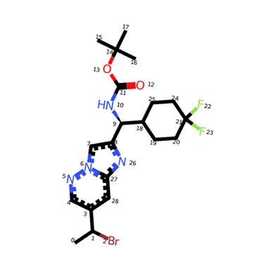 CC(Br)c1cnn2cc([C@@H](NC(=O)OC(C)(C)C)C3CCC(F)(F)CC3)nc2c1